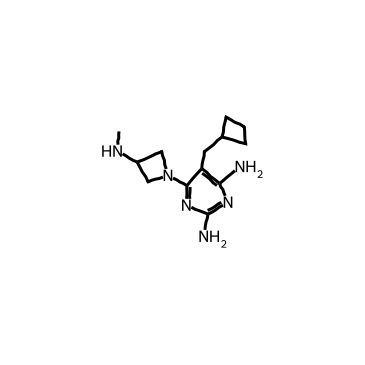 CNC1CN(c2nc(N)nc(N)c2CC2CCC2)C1